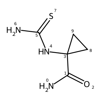 NC(=O)C1(NC(N)=S)CC1